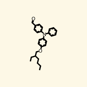 CCCCC(CC)COc1ccc(N(c2ccccc2)c2ccc(C=O)cc2)cc1